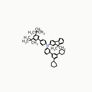 CC(C)(C)c1cc(-c2ccc(N(c3cccc(-c4cc(C5CCCCC5)cc(C5CCCCC5)c4)c3)c3ccc4c(c3)C(C)(C)c3ccccc3-4)cc2)cc(C(C)(C)C)c1